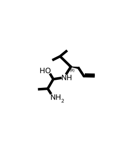 C=CC[C@@H](NC(O)C(C)N)C(C)C